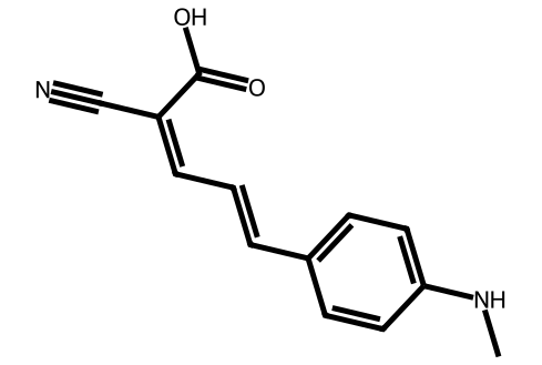 CNc1ccc(C=CC=C(C#N)C(=O)O)cc1